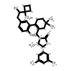 CCC(Cc1ccc(OC)c(C2=C(CN3C(=O)O[C@H](c4cc(C(F)(F)F)cc(C(F)(F)F)c4)[C@@H]3C)CC(C)(C)CC2)c1)C1(C(=O)O)CCC1